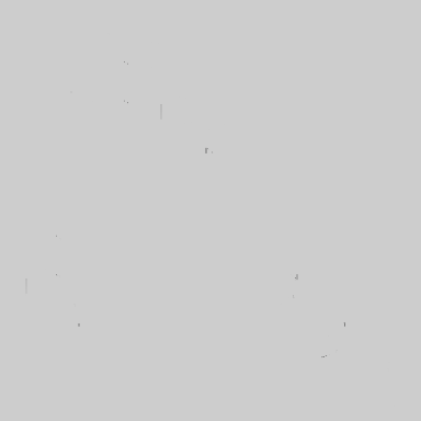 CC1/C=C\CC[C@@H]2[C@H](CC1)[C@@H]2COC(=O)NCCOCCOCCNC(=O)c1ccc(C(c2cccc(C(=O)O)n2)N(CCO)CCOCCOCCN(CCO)Cc2cccc(C(=O)O)n2)cc1